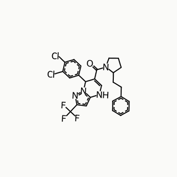 O=C(C1=CNc2cc(C(F)(F)F)nn2C1c1ccc(Cl)c(Cl)c1)N1CCCC1CCc1ccccc1